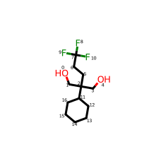 OCC(CO)(CCC(F)(F)F)C1CCCCC1